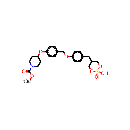 CC(C)(C)OC(=O)N1CCC(Oc2ccc(COc3ccc(CC4COS(O)(O)OC4)cc3)cc2)CC1